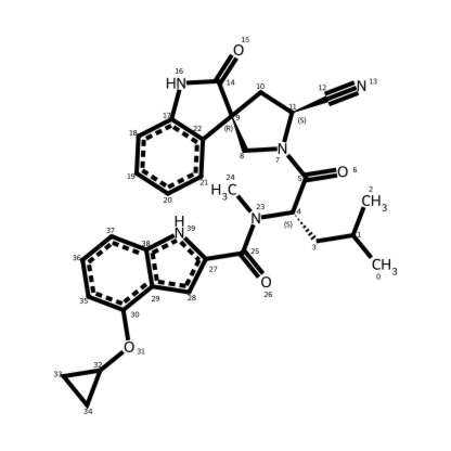 CC(C)C[C@@H](C(=O)N1C[C@]2(C[C@H]1C#N)C(=O)Nc1ccccc12)N(C)C(=O)c1cc2c(OC3CC3)cccc2[nH]1